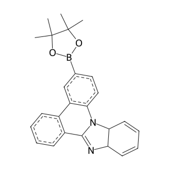 CC1(C)OB(c2ccc3c(c2)-c2ccccc2C2=NC4C=CC=CC4N23)OC1(C)C